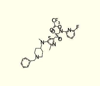 Cc1nc(S(=O)(=O)N(OC(=O)C(F)(F)F)c2cccc(F)n2)sc1N(C)C1CCN(Cc2ccccc2)CC1